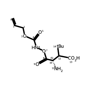 C=CCOC(=O)NOC(=O)[C@@H](N)C(C(=O)O)C(C)(C)C